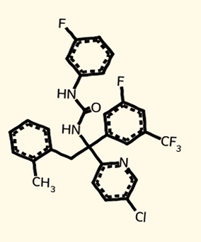 Cc1ccccc1CC(NC(=O)Nc1cccc(F)c1)(c1cc(F)cc(C(F)(F)F)c1)c1ccc(Cl)cn1